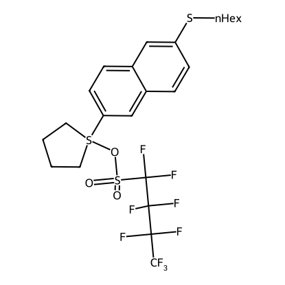 CCCCCCSc1ccc2cc(S3(OS(=O)(=O)C(F)(F)C(F)(F)C(F)(F)C(F)(F)F)CCCC3)ccc2c1